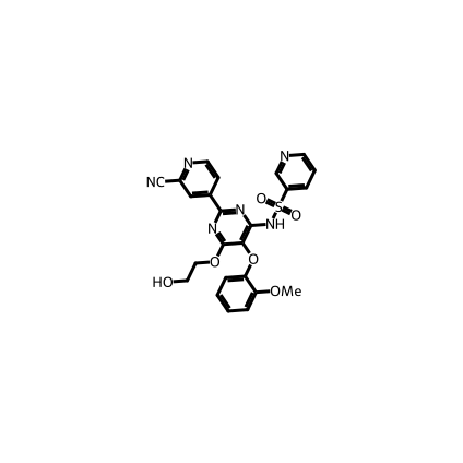 COc1ccccc1Oc1c(NS(=O)(=O)c2cccnc2)nc(-c2ccnc(C#N)c2)nc1OCCO